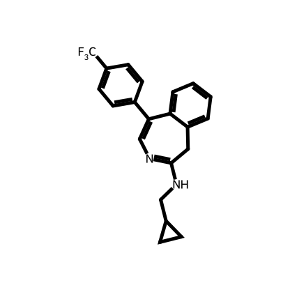 FC(F)(F)c1ccc(C2=CN=C(NCC3CC3)Cc3ccccc32)cc1